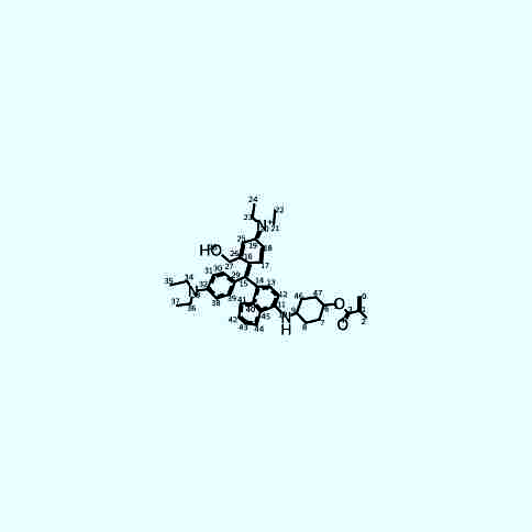 C=C(C)C(=O)OC1CCC(Nc2ccc(/C(=C3\C=CC(=[N+](CC)CC)C=C3CO)c3ccc(N(CC)CC)cc3)c3ccccc23)CC1